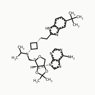 CC(C)N(C[C@H]1OC[C@@]2(n3cnc4c(N)ncnc43)OC(C)(C)O[C@H]12)[C@H]1C[C@@H](CCc2nc3cc(C(C)(C)C)ccc3[nH]2)C1